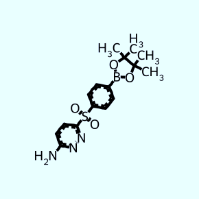 CC1(C)OB(c2ccc(S(=O)(=O)c3ccc(N)nn3)cc2)OC1(C)C